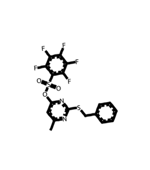 Cc1cc(OS(=O)(=O)c2c(F)c(F)c(F)c(F)c2F)nc(SCc2ccccc2)n1